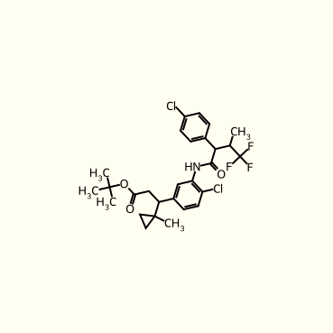 CC(C(C(=O)Nc1cc(C(CC(=O)OC(C)(C)C)C2(C)CC2)ccc1Cl)c1ccc(Cl)cc1)C(F)(F)F